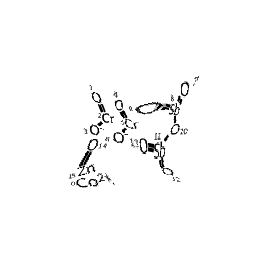 [Co+2].[O]=[Cr][O-].[O]=[Cr][O-].[O]=[Sb](=[O])[O][Sb](=[O])=[O].[O]=[Zn]